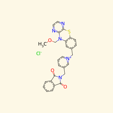 COCN1c2cc(C[n+]3cccc(CN4C(=O)c5ccccc5C4=O)c3)ccc2Sc2nccnc21.[Cl-]